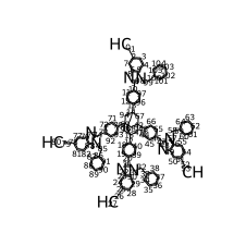 C#Cc1ccc2c(c1)nc(-c1ccc(C34CC5(c6ccc(-c7nc8cc(C#C)ccc8n7Cc7ccccc7)cc6)CC(c6ccc(-c7nc8cc(C#C)ccc8n7Cc7ccccc7)cc6)(C3)CC(c3ccc(-c6nc7cc(C#C)ccc7n6Cc6ccccc6)cc3)(C4)C5)cc1)n2Cc1ccccc1